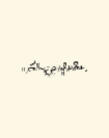 Cc1cccc(C#Cc2cccc(OCCNC(=O)COCC(N)=O)c2)n1